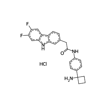 Cl.NC1(c2ccc(NC(=O)Cc3ccc4c(c3)[nH]c3cc(F)c(F)cc34)cc2)CCC1